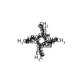 CCC1(OCOC(=O)c2ccc(C3c4cc(c(OC)cc4O)C(c4ccc(C(=O)OCOC5(CC)C6CC7CC5CC(C)(C7)C6)cc4)c4cc(c(OC)cc4O)C(c4ccc(C(=O)OCOC5(CC)C6CC7CC5CC(C)(C7)C6)cc4)c4cc(c(OC)cc4O)C(c4ccc(C(=O)OCOC5(CC)C6CC7CC5CC(C)(C7)C6)cc4)c4cc3c(OC)cc4O)cc2)C2CC3CC1CC(C)(C3)C2